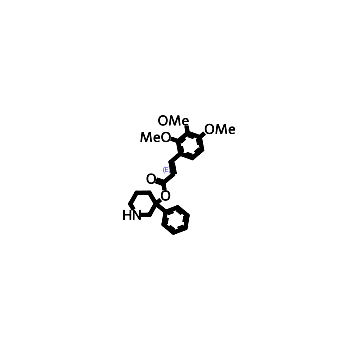 COc1ccc(/C=C/C(=O)OC2(c3ccccc3)CCCNC2)c(OC)c1OC